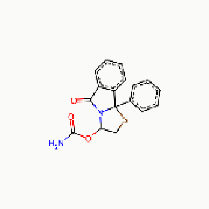 NC(=O)OC1CSC2(c3ccccc3)c3ccccc3C(=O)N12